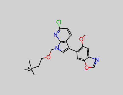 COc1cc2ncoc2cc1-c1cn(COCC[Si](C)(C)C)c2nc(Cl)ccc12